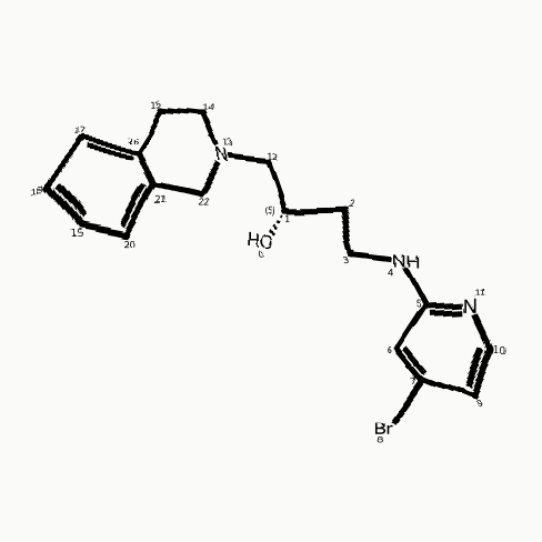 O[C@@H](CCNc1cc(Br)ccn1)CN1CCc2ccccc2C1